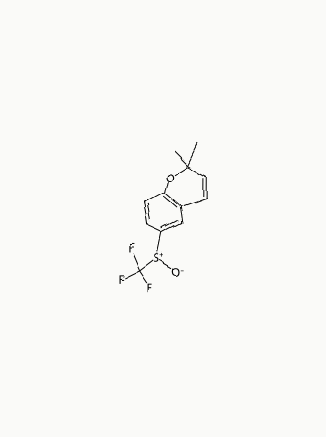 CC1(C)C=Cc2cc([S+]([O-])C(F)(F)F)ccc2O1